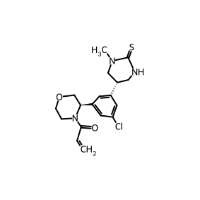 C=CC(=O)N1CCOC[C@H]1c1cc(Cl)cc([C@H]2CNC(=S)N(C)C2)c1